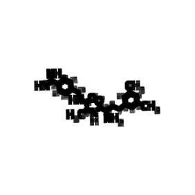 Cc1cc(C)cc(CC[C@@H](N)C(=O)N[C@@H](C)C(=O)NCc2ccc(C(=N)N)cc2)c1